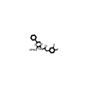 CCCCCCc1nc(-c2ccccc2)cnc1NC(=O)Cc1ccc(F)c(F)c1